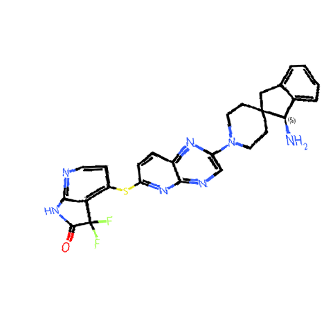 N[C@@H]1c2ccccc2CC12CCN(c1cnc3nc(Sc4ccnc5c4C(F)(F)C(=O)N5)ccc3n1)CC2